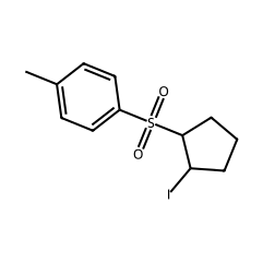 Cc1ccc(S(=O)(=O)C2CCCC2I)cc1